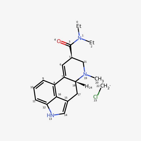 CCN(CC)C(=O)[C@@H]1C=C2c3cccc4[nH]cc(c34)C[C@H]2N(C)C1.[CH2]Cl